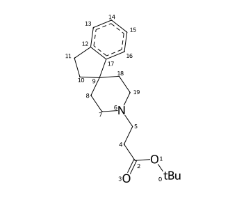 CC(C)(C)OC(=O)CCN1CCC2(CCc3ccccc32)CC1